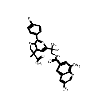 COc1cc(C(=O)NCC(O)(c2cc3c(c(-c4ccc(F)cc4)n2)OCC3(C)C(N)=O)C(F)(F)F)cc2cc(C(F)(F)F)cnc12